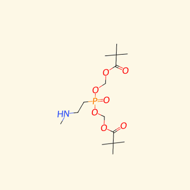 CNCCP(=O)(OCOC(=O)C(C)(C)C)OCOC(=O)C(C)(C)C